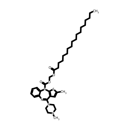 CCCCCCCCCCCCCCCCCC(=O)OCOC(=O)N1c2ccccc2N=C(N2CCN(C)CC2)c2cc(C)sc21